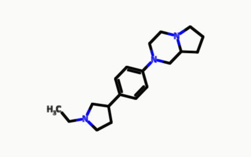 CCN1CCC(c2ccc(N3CCN4CCCC4C3)cc2)C1